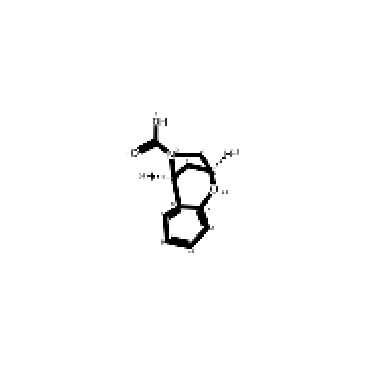 O=C(O)N1C[C@@H]2C[C@H]1c1ccccc1O2